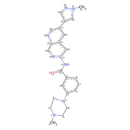 CN1CCN(c2cccc(C(=O)Nc3cc4cc(-c5cnn(C)c5)cnc4cn3)c2)CC1